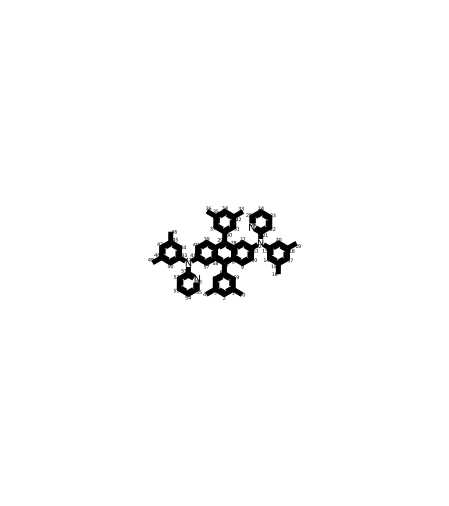 Cc1cc(C)cc(-c2c3ccc(N(c4cc(C)cc(C)c4)c4ccccn4)cc3c(-c3cc(C)cc(C)c3)c3ccc(N(c4cc(C)cc(C)c4)c4ccccn4)cc23)c1